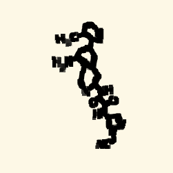 Cc1ccncc1-c1cc(N)c2cnc(NC(=O)C(=O)Nc3cnn(CC#N)c3)cc2c1